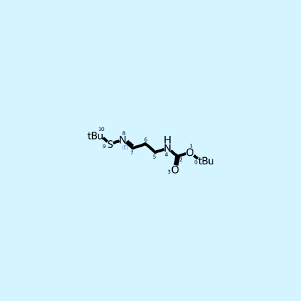 CC(C)(C)OC(=O)NCC/C=N/SC(C)(C)C